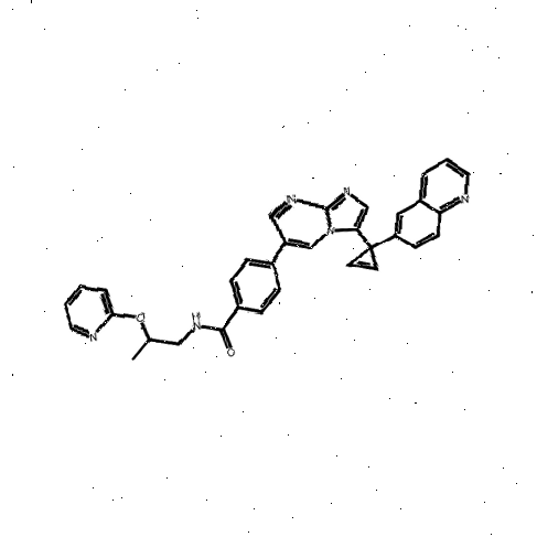 CC(CNC(=O)c1ccc(-c2cnc3ncc(C4(c5ccc6ncccc6c5)C=C4)n3c2)cc1)Oc1ccccn1